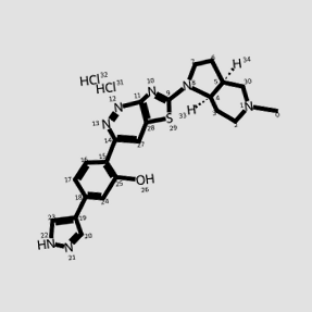 CN1CC[C@@H]2[C@@H](CCN2c2nc3nnc(-c4ccc(-c5cn[nH]c5)cc4O)cc3s2)C1.Cl.Cl